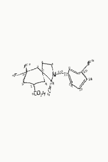 O=C(O)C1CC(F)(F)CC2(CCN(c3cccc(F)c3)C2=O)C1